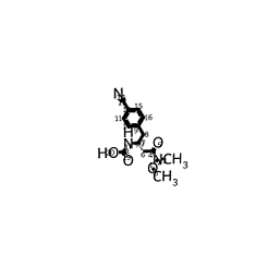 CON(C)C(=O)C[C@@H](Cc1ccc(C#N)cc1)NC(=O)O